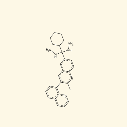 Cc1nc2ccc(C(NN)(NN)C3CCCCC3)cc2cc1-c1cccc2ccccc12